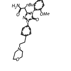 CCCCC(C(N)=O)c1nn(-c2ccc(CCN3CCOCC3)cc2)c(=O)n1-c1ccccc1OC